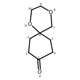 O=C1CCC2(CC1)COCCO2